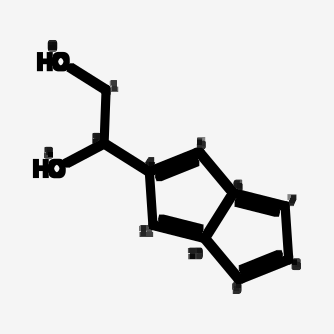 OCC(O)C1=CC2=CC=CC2=C1